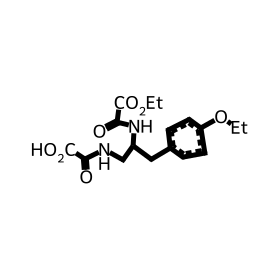 CCOC(=O)C(=O)NC(CNC(=O)C(=O)O)Cc1ccc(OCC)cc1